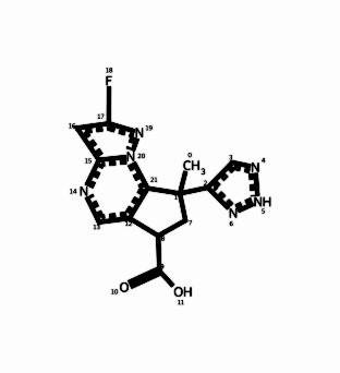 CC1(c2cn[nH]n2)CC(C(=O)O)c2cnc3cc(F)nn3c21